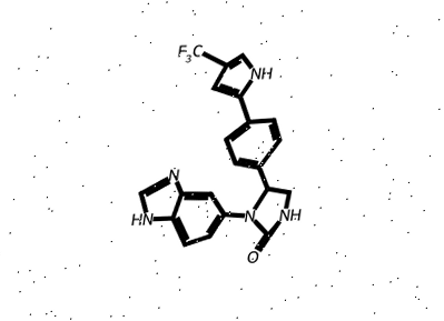 O=C1NCC(c2ccc(-c3cc(C(F)(F)F)c[nH]3)cc2)N1c1ccc2[nH]cnc2c1